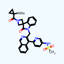 CNC1(C(=O)N2CC3(C2)C(=O)N(Cc2ncc4ccccc4c2-c2ccc(NS(C)(=O)=O)cn2)c2ccccc23)CC1